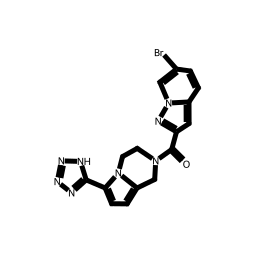 O=C(c1cc2ccc(Br)cn2n1)N1CCn2c(ccc2-c2nnn[nH]2)C1